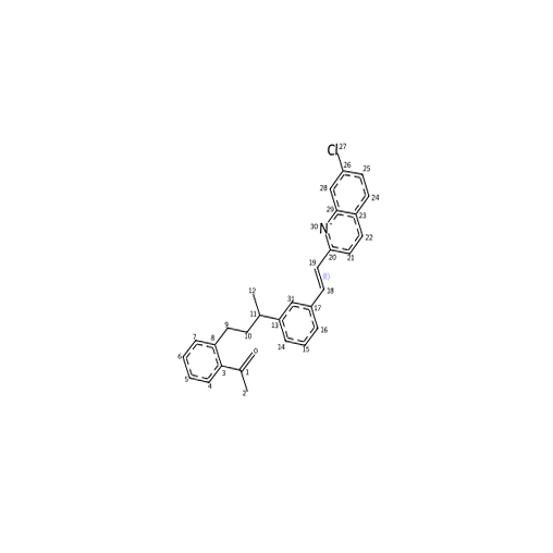 C=C(C)c1ccccc1CCC(C)c1cccc(/C=C/c2ccc3ccc(Cl)cc3n2)c1